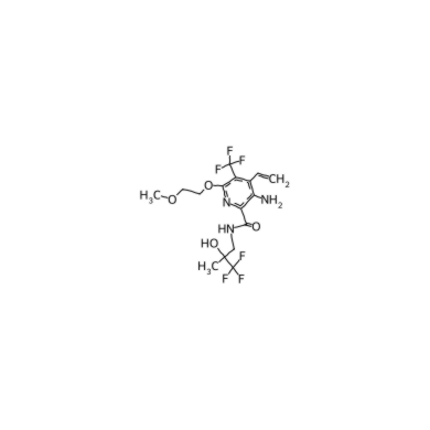 C=Cc1c(N)c(C(=O)NCC(C)(O)C(F)(F)F)nc(OCCOC)c1C(F)(F)F